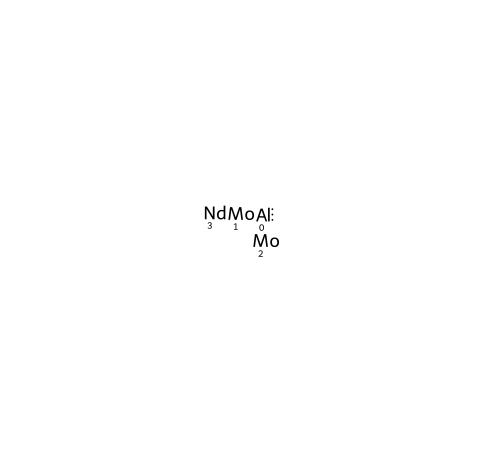 [Al].[Mo].[Mo].[Nd]